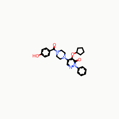 O=C(c1ccc(O)cc1)N1CCN(c2cnn(-c3ccccc3)c(=O)c2OC2CCCC2)CC1